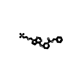 C[Si](C)(C)CCOCn1ccc2c(O[C@@H]3CCCN(C(=O)OCc4ccccc4)C3)ncnc21